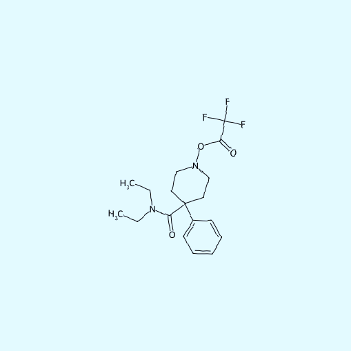 CCN(CC)C(=O)C1(c2ccccc2)CCN(OC(=O)C(F)(F)F)CC1